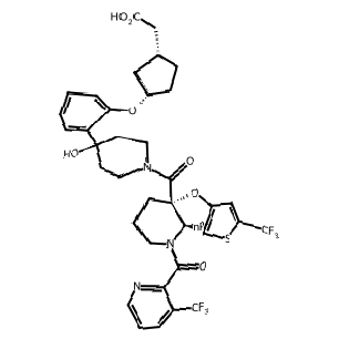 CCC[C@H]1N(C(=O)c2ncccc2C(F)(F)F)CCC[C@@]1(Oc1csc(C(F)(F)F)c1)C(=O)N1CCC(O)(c2ccccc2O[C@H]2CC[C@@H](CC(=O)O)C2)CC1